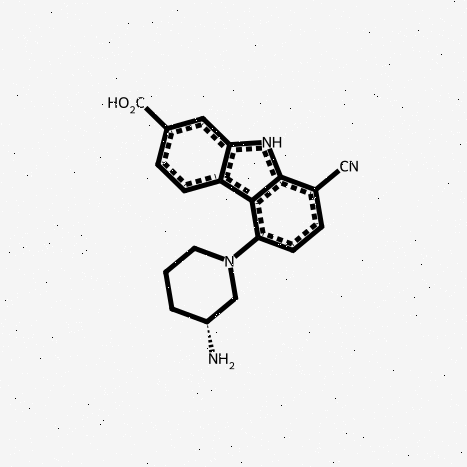 N#Cc1ccc(N2CCC[C@@H](N)C2)c2c1[nH]c1cc(C(=O)O)ccc12